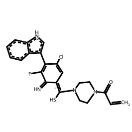 C=CC(=O)N1CCN(/C(S)=C2\C=C(Cl)C(c3c[nH]c4ccccc34)=C(F)C2=N)CC1